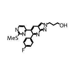 CSc1nccc(-c2cc3cn(CCCO)nc3nc2-c2ccc(F)cc2)n1